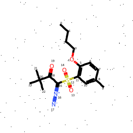 CCCCOc1ccc(C)cc1S(=O)(=O)C(=[N+]=[N-])C(=O)C(C)(C)C